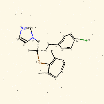 Cc1cccc(C)c1SC(C)(CCc1ccc(F)cc1)Cn1ccnc1